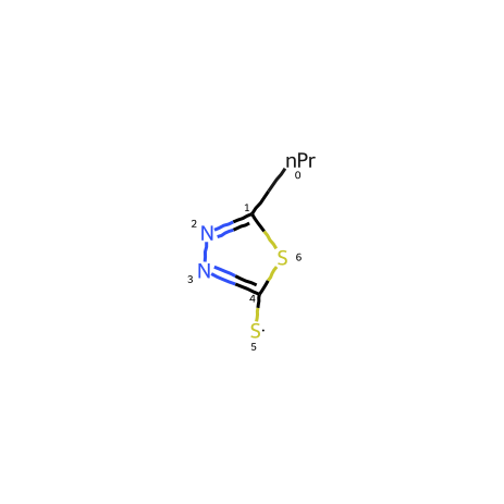 CCCc1nnc([S])s1